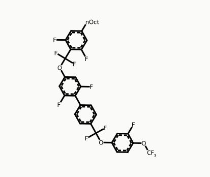 CCCCCCCCc1cc(F)c(C(F)(F)Oc2cc(F)c(-c3ccc(C(F)(F)Oc4ccc(OC(F)(F)F)c(F)c4)cc3)c(F)c2)c(F)c1